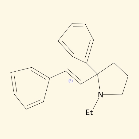 CCN1CCCC1(/C=C/c1ccccc1)c1ccccc1